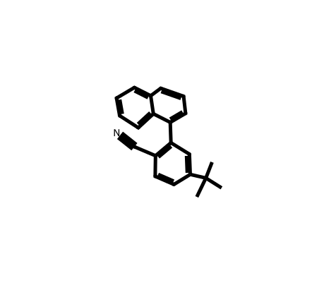 CC(C)(C)c1ccc(C#N)c(-c2cccc3ccccc23)c1